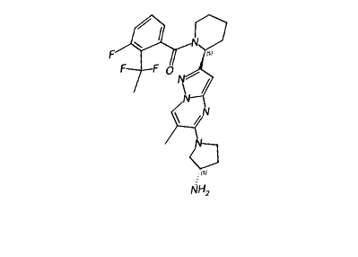 Cc1cn2nc([C@@H]3CCCCN3C(=O)c3cccc(F)c3C(C)(F)F)cc2nc1N1CC[C@H](N)C1